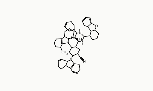 CC1CCCC2=C1N(C1CC(N3C4=C(C=CCC4)C4CCC=CC43)C(C#N)CC1C1NC(C3CC=CCC3)NC(C3CCCC4OC5=CC=CCC5C43)N1)C1C(C)CCCC21